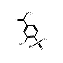 COc1cc(C(=O)S(=O)(=O)O)ccc1P(=O)(O)O